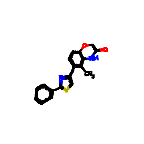 Cc1c(-c2csc(-c3ccccc3)n2)ccc2c1NC(=O)CO2